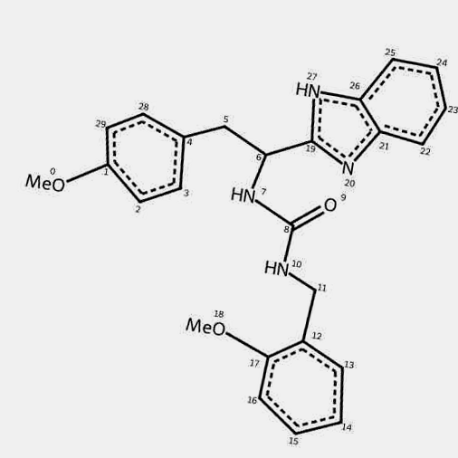 COc1ccc(CC(NC(=O)NCc2ccccc2OC)c2nc3ccccc3[nH]2)cc1